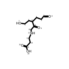 O=CCCC(CCO)C(=O)CNCCC(=O)O